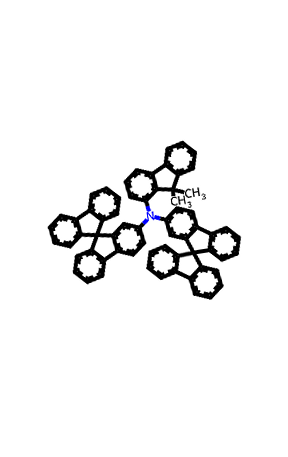 CC1(C)c2ccccc2-c2cccc(N(c3ccc4c(c3)C3(c5ccccc5-c5ccccc53)c3ccccc3-4)c3ccc4c(c3)C3(c5ccccc5-c5ccccc53)c3ccccc3-4)c21